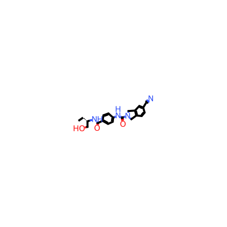 CC[C@@H](CO)NC(=O)c1ccc(NC(=O)N2Cc3ccc(C#N)cc3C2)cc1